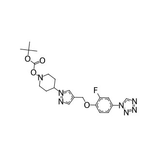 CC(C)(C)OC(=O)ON1CCC(n2cc(COc3ccc(-n4cnnn4)cc3F)cn2)CC1